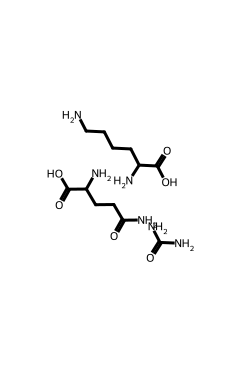 NC(=O)CCC(N)C(=O)O.NC(N)=O.NCCCCC(N)C(=O)O